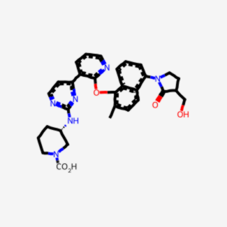 Cc1ccc2c(N3CCC(CO)C3=O)cccc2c1Oc1ncccc1-c1ccnc(N[C@H]2CCCN(C(=O)O)C2)n1